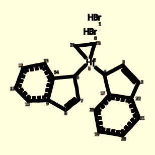 Br.Br.C1=C[CH]([Hf]2([CH]3C=Cc4ccccc43)[CH2][CH2]2)c2ccccc21